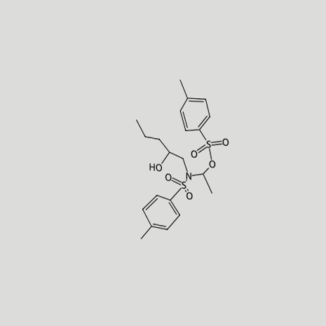 CCCC(O)CN(C(C)OS(=O)(=O)c1ccc(C)cc1)S(=O)(=O)c1ccc(C)cc1